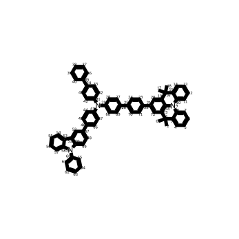 CC1(C)c2ccccc2N2c3ccccc3C(C)(C)c3cc(-c4ccc(-c5ccc(N(c6ccc(-c7ccccc7)cc6)c6ccc(-c7ccc8c(c7)c7ccccc7n8-c7ccccc7)cc6)cc5)cc4)cc1c32